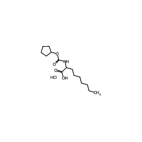 CCCCCCCC(NC(=O)OC1CCCC1)C(=O)O.Cl